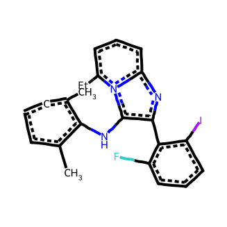 CCc1cccc2nc(-c3c(F)cccc3I)c(Nc3c(C)cccc3C)n12